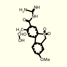 COc1ccc2c(c1)CS(=O)(=O)c1cc(C(=O)NC(=N)N)c(C)cc1-2.O=CO